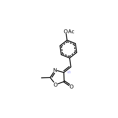 CC(=O)Oc1ccc(/C=C2\N=C(C)OC2=O)cc1